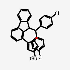 CC1C=C(C(C)(C)C)C=C1c1cccc2c1C(C(c1ccc(Cl)cc1)c1ccc(Cl)cc1)c1ccccc1-2